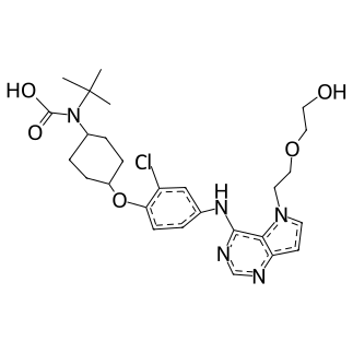 CC(C)(C)N(C(=O)O)C1CCC(Oc2ccc(Nc3ncnc4ccn(CCOCCO)c34)cc2Cl)CC1